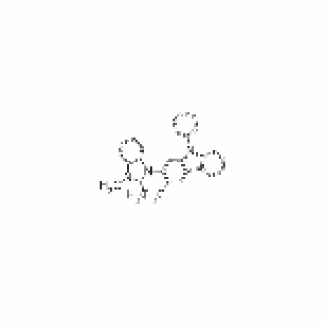 Cc1cc2c3ccccc3n(-c3ccccc3)c2cc1N1c2ccccc2N(C)[C@@H]1C